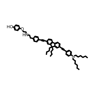 CCCCCCN(CCCCCC)c1ccc(C#Cc2ccc3c(c2)C(CCCC)(CCCC)c2cc(C#Cc4ccc(CCNCCOc5ccc(O)cc5)cc4)ccc2-3)cc1